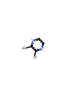 CC(C)(C)c1nccnc1C#N